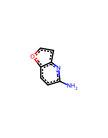 Nc1ccc2occc2n1